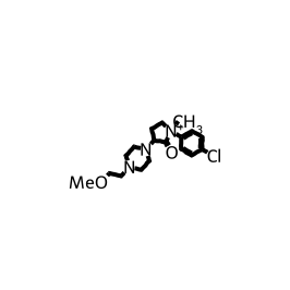 COCCN1CCN(C2CC[N+](C)(c3ccc(Cl)cc3)C2=O)CC1